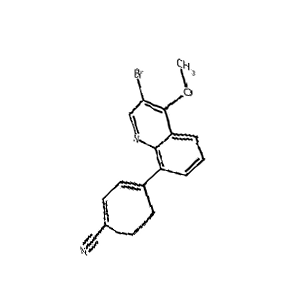 COc1c(Br)cnc2c(C3=CC=C(C#N)CC3)cccc12